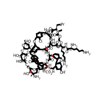 Cc1ccc2cc1-c1c(O)cc(O)cc1[C@H](C(=O)O)NC(=O)[C@H]1NC(=O)[C@@H]2NC(=O)[C@@H]2NC(=O)[C@H](CC(N)=O)NC(=O)[C@H](NC(=O)[C@@H](CC(C)C)N(C)C(=O)OCOC(=O)[C@H](CCCCN)NC(=O)[C@H](N)CCCCN)[C@H](O)c3ccc(c(Cl)c3)Oc3cc2cc2c3O[C@@H]3O[C@H](CO[C@@H]4O[C@H](C[C@](C)(N)[C@H]4O)O[C@@H]1c1ccc(c(Cl)c1)O2)[C@@H](O)[C@H](O)[C@H]3O[C@H]1C[C@](C)(NCc2ccc(-c3ccc(Cl)cc3)cc2)[C@@H](O)[C@H](C)O1